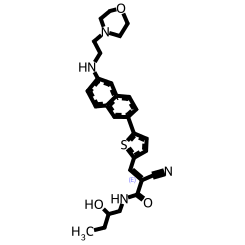 CCC(O)CNC(=O)/C(C#N)=C/c1ccc(-c2ccc3cc(NCCN4CCOCC4)ccc3c2)s1